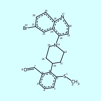 CSc1cccc(C=O)c1C1CCN(c2ccnc3ccc(Br)cc23)CC1